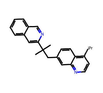 CC(C)c1ccnc2cc(CC(C)(C)c3cc4ccccc4cn3)ccc12